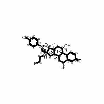 C[C@]12C[C@H](O)[C@@]3(F)[C@@H](C[C@H](F)C4=CC(=O)C=C[C@@]43C)[C@]1(C)C[C@H]1CN(c3ccc(Cl)cc3)O[C@]12C(=O)OCCF